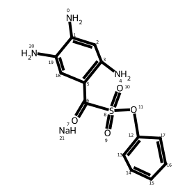 Nc1cc(N)c(C(=O)S(=O)(=O)Oc2ccccc2)cc1N.[NaH]